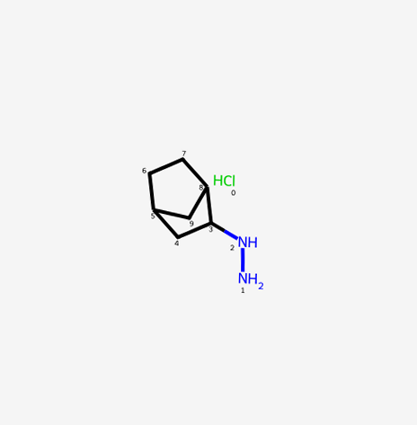 Cl.NNC1CC2CCC1C2